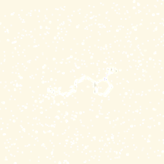 C/C=C\C=C/c1cccn1C